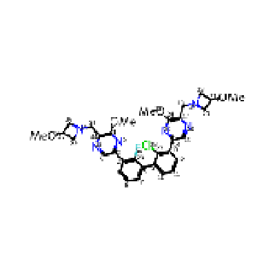 COc1nc(-c2cccc(-c3cccc(-c4cnc(CN5CC(OC)C5)c(OC)n4)c3Cl)c2F)cnc1CN1CC(OC)C1